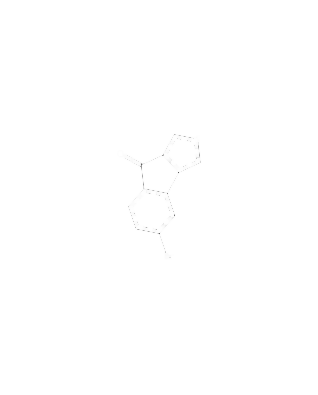 O=C1c2cscc2-c2cc(Br)ccc21